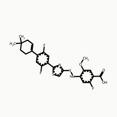 COc1cc(C(=O)O)c(F)cc1NSc1csc(-c2cc(F)c(C3=CCC(C)(C)CC3)cc2F)n1